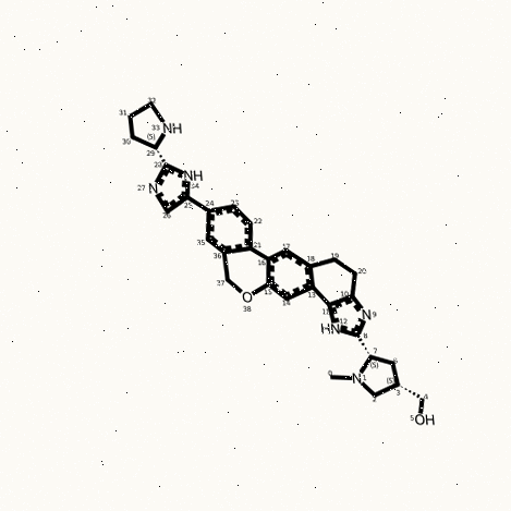 CN1C[C@@H](CO)C[C@H]1c1nc2c([nH]1)-c1cc3c(cc1CC2)-c1ccc(-c2cnc([C@@H]4CCCN4)[nH]2)cc1CO3